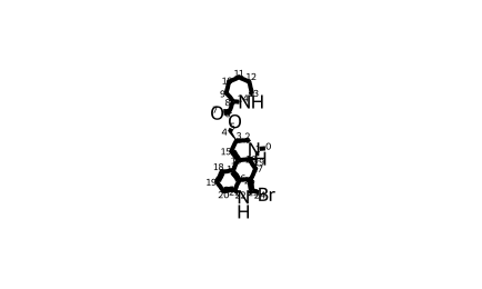 CN1C[C@H](COC(=O)C2CCCCCN2)C=C2c3cccc4[nH]c(Br)c(c34)C[C@H]21